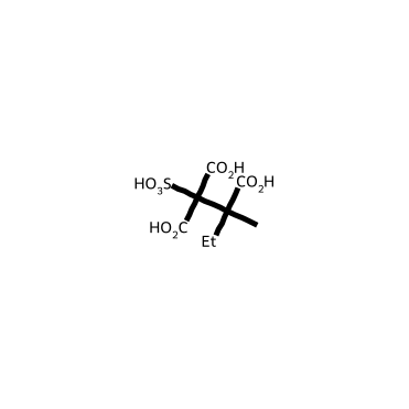 CCC(C)(C(=O)O)C(C(=O)O)(C(=O)O)S(=O)(=O)O